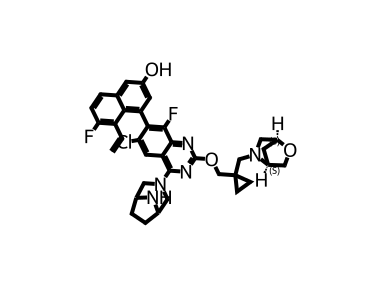 C=Cc1c(F)ccc2cc(O)cc(-c3c(Cl)cc4c(N5CC6CCC(C5)N6)nc(OCC5(CN6C[C@@H]7C[C@H]6CO7)CC5)nc4c3F)c12